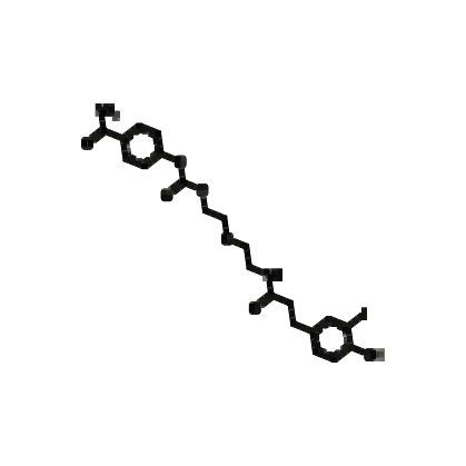 NC(=O)c1ccc(OC(=O)OCCOCCNC(=O)CCc2ccc(O)c(I)c2)cc1